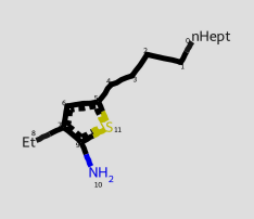 CCCCCCCCCCCc1cc(CC)c(N)s1